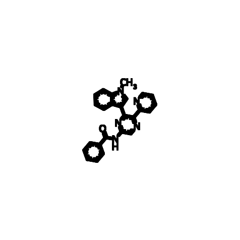 Cn1cc(-c2nc(NC(=O)c3ccccc3)cnc2-c2ccccn2)c2ccccc21